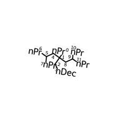 [CH2]CCC(CCCCCCCCCCC)(CC(CCC)CCC)CC(CCC)CCC